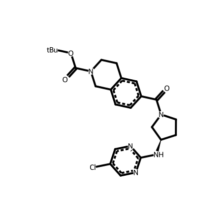 CC(C)(C)OC(=O)N1CCc2cc(C(=O)N3CC[C@@H](Nc4ncc(Cl)cn4)C3)ccc2C1